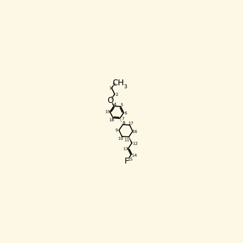 CCCOc1ccc([C@H]2CC[C@H](CC=CF)CC2)cc1